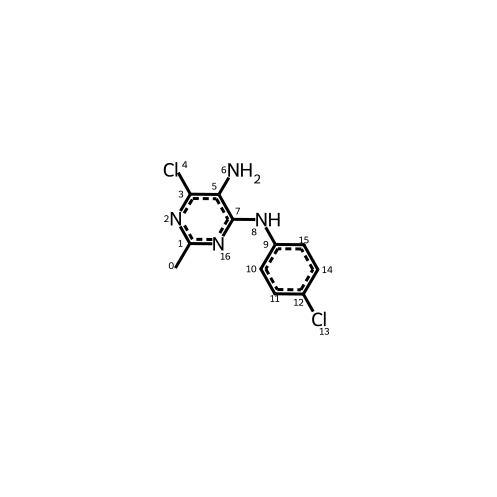 Cc1nc(Cl)c(N)c(Nc2ccc(Cl)cc2)n1